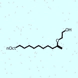 C=C(CCCCCCCCCCCCCCCC)OCCO